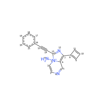 N[N+]12C=CN=CC1=C(C1=CC=C1)N=C2C#Cc1ccccc1